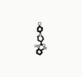 O=C(Nc1ccccc1Br)C1CCN(c2ccc(Cl)cc2)CC1